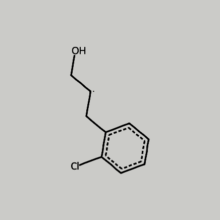 OC[CH]Cc1ccccc1Cl